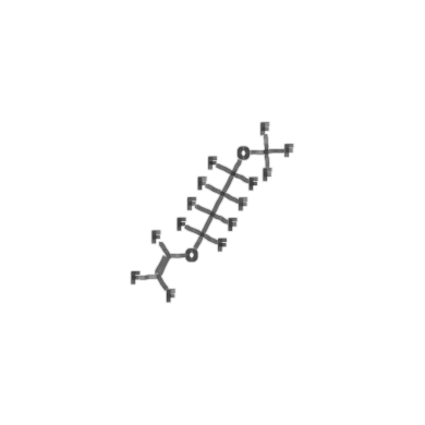 FC(F)=C(F)OC(F)(F)C(F)(F)C(F)(F)C(F)(F)OC(F)(F)F